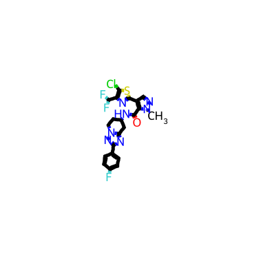 Cn1ncc(-c2nc(C(F)F)c(Cl)s2)c1C(=O)NC1CCn2nc(-c3ccc(F)cc3)nc2C1